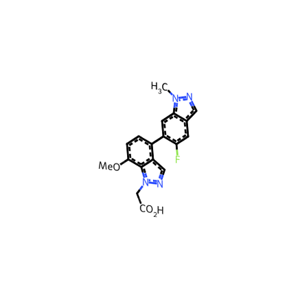 COc1ccc(-c2cc3c(cnn3C)cc2F)c2cnn(CC(=O)O)c12